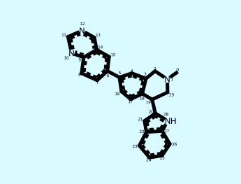 CN1Cc2cc(-c3ccc4ncncc4c3)ccc2C(c2cc3ccccc3[nH]2)C1